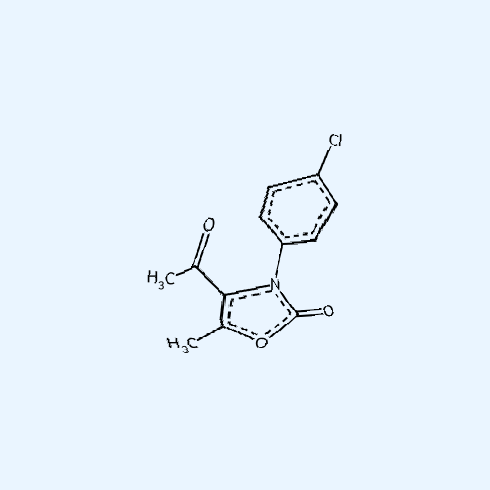 CC(=O)c1c(C)oc(=O)n1-c1ccc(Cl)cc1